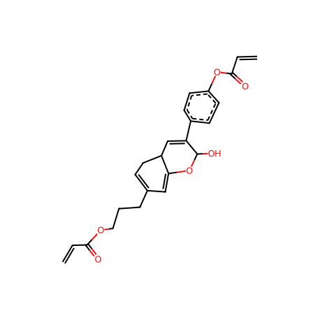 C=CC(=O)OCCCC1=CCC2C=C(c3ccc(OC(=O)C=C)cc3)C(O)OC2=C1